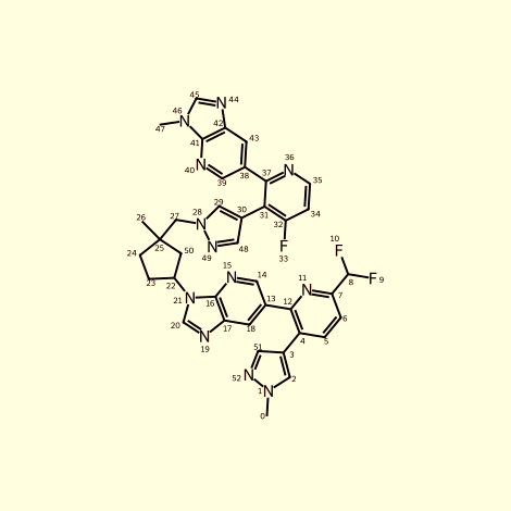 Cn1cc(-c2ccc(C(F)F)nc2-c2cnc3c(c2)ncn3C2CCC(C)(Cn3cc(-c4c(F)ccnc4-c4cnc5c(c4)ncn5C)cn3)C2)cn1